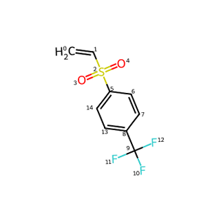 C=CS(=O)(=O)c1ccc(C(F)(F)F)cc1